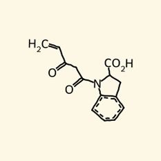 C=CC(=O)CC(=O)N1c2ccccc2CC1C(=O)O